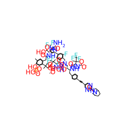 COC(=O)N[C@H](C(=O)N[C@@H](Cc1ccc(C#Cc2cnc(N3CC4CCC(C3)N4C3COC3)nc2)cc1)[C@H](CN(Cc1c(F)cc(-c2ccn(C(F)F)n2)cc1F)NC(=O)[C@@H](NC(=O)OC)C(C)(C)C(F)(F)F)OC(=O)OCOC(=O)CC(C)(C)c1c(CC(=O)N[C@@H](CCC(N)=O)C(=O)O)cc(C)cc1OP(=O)(O)O)C(C)(C)C(F)(F)F